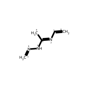 C=C/N=C(\C)NN=C